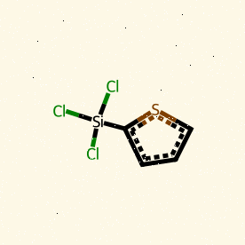 Cl[Si](Cl)(Cl)c1cccs1